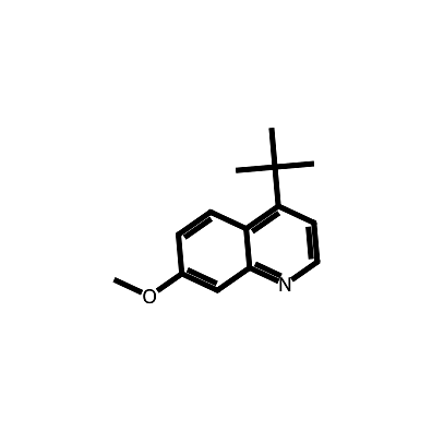 COc1ccc2c(C(C)(C)C)ccnc2c1